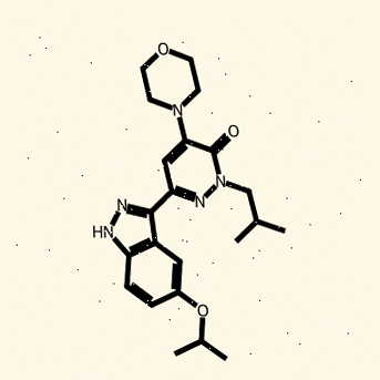 CC(C)Cn1nc(-c2n[nH]c3ccc(OC(C)C)cc23)cc(N2CCOCC2)c1=O